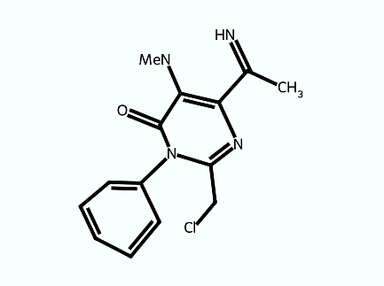 CNc1c(C(C)=N)nc(CCl)n(-c2ccccc2)c1=O